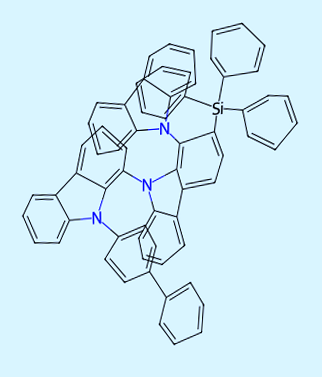 c1ccc(-c2ccc(-n3c4ccccc4c4cccc(-n5c6ccccc6c6ccc([Si](c7ccccc7)(c7ccccc7)c7ccccc7)c(-n7c8ccccc8c8ccccc87)c65)c43)cc2)cc1